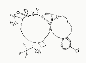 CC1CCC[C@@H]([C@@H](O)C(F)(F)F)C2CCC2CN2CCc3ccc(Cl)cc3CCCCCOc3ccc(cc32)C(=O)NS(=O)(=O)C1C